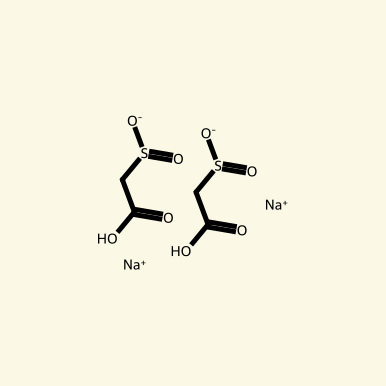 O=C(O)CS(=O)[O-].O=C(O)CS(=O)[O-].[Na+].[Na+]